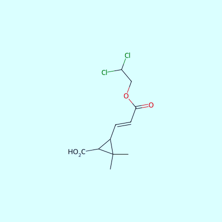 CC1(C)C(C=CC(=O)OCC(Cl)Cl)C1C(=O)O